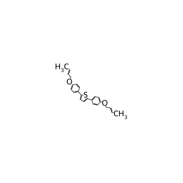 CC=CCOc1ccc(-c2ccc(-c3ccc(OCC=CC)cc3)s2)cc1